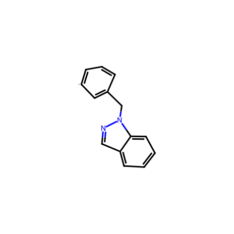 [c]1cccc(Cn2ncc3ccccc32)c1